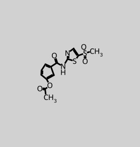 CC(=O)Oc1cccc(C(=O)Nc2ncc(S(C)(=O)=O)s2)c1